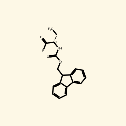 O=C(N[C@@H](CC(F)(F)F)C(=O)F)OCC1c2ccccc2-c2ccccc21